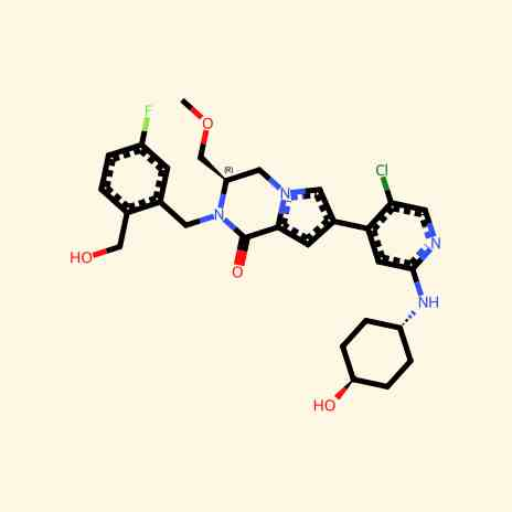 COC[C@H]1Cn2cc(-c3cc(N[C@H]4CC[C@H](O)CC4)ncc3Cl)cc2C(=O)N1Cc1cc(F)ccc1CO